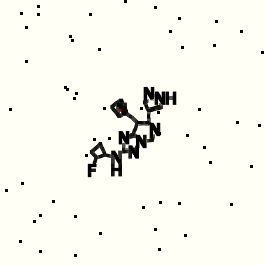 FC1CCC1Nc1nc2c(N3CC4CC3C4)c(-c3cn[nH]c3)ncn2n1